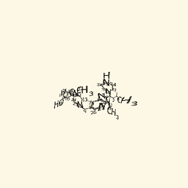 CCC[C@@H](c1nc2cc(CN3CCC(c4cccc(O)c4)(N(C)C)CC3)cnc2n1CC)N1CCNCC1